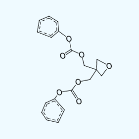 O=C(OCC1(COC(=O)Oc2ccccc2)COC1)Oc1ccccc1